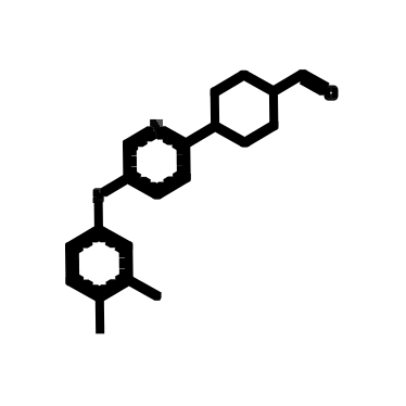 Cc1ccc(Sc2ccc(C3CCC(C=O)CC3)nc2)cc1C